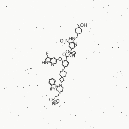 CC(C)c1ccccc1[C@@H]1CN(CCS(N)(=O)=O)CCN1C1CC2(CCN(c3ccc(C(=O)NS(=O)(=O)c4cnc(NCC5CCC(C)(O)CC5)c([N+](=O)[O-])c4)c(Oc4cnc5[nH]cc(F)c5c4)c3)CC2)C1